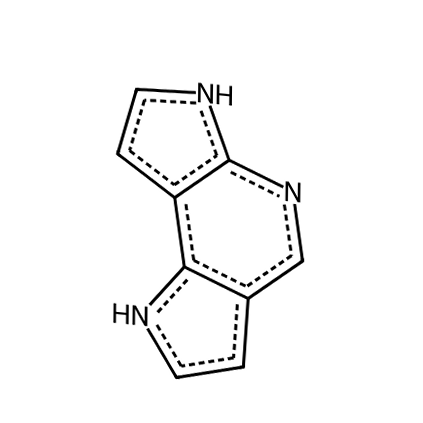 c1cc2c(ncc3cc[nH]c32)[nH]1